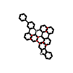 C1=c2cccc(-c3ccccc3)c2=C(c2ccccc2N(c2cccc(-c3ccc4c(c3)oc3ccccc34)c2)c2ccc(-c3ccccc3)cc2-c2ccccc2)CC1